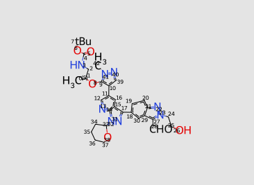 C[C@@H](CNC(=O)OC(C)(C)C)Oc1c(-c2cnc3c(c2)c(-c2ccc4nn(CCO)c(C=O)c4c2)nn3C2CCCCO2)cnn1C